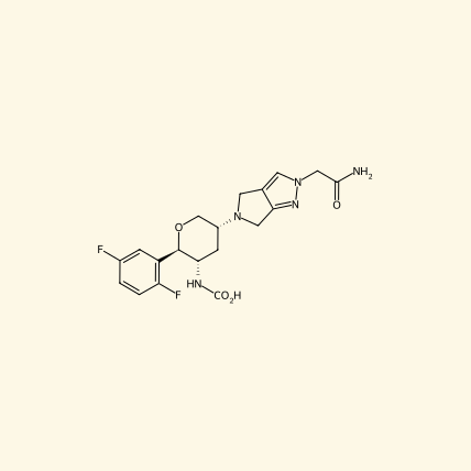 NC(=O)Cn1cc2c(n1)CN([C@H]1CO[C@H](c3cc(F)ccc3F)[C@@H](NC(=O)O)C1)C2